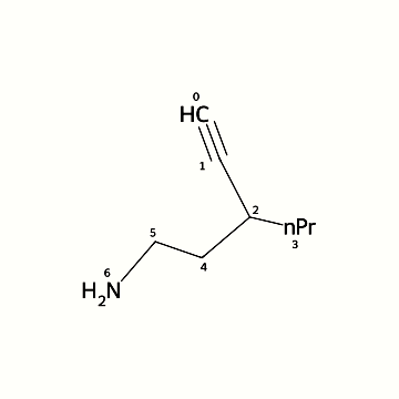 C#CC(CCC)CCN